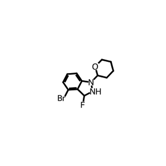 FC1NN(C2CCCCO2)c2cccc(Br)c21